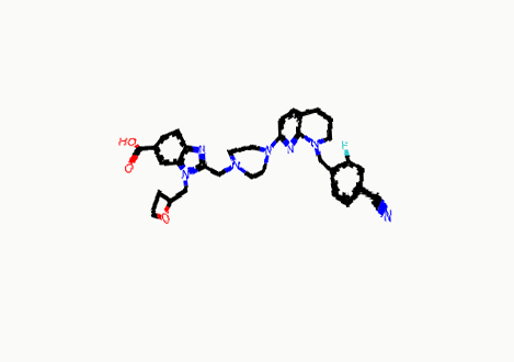 N#Cc1ccc(CN2CCCc3ccc(N4CCN(Cc5nc6ccc(C(=O)O)cc6n5CC5CCO5)CC4)nc32)c(F)c1